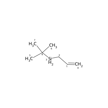 C=CC[SiH2]C(C)(C)C